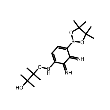 CC(C)(O)C(C)(C)OBC1=CC=C(B2OC(C)(C)C(C)(C)O2)C(=N)C1=N